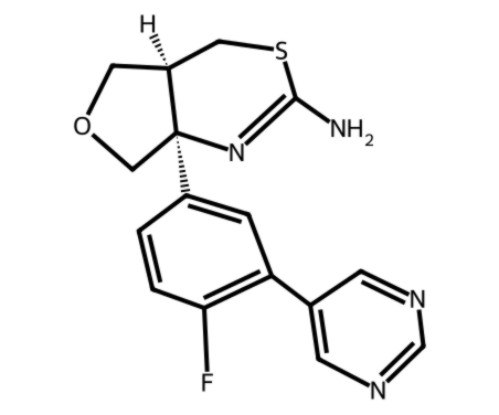 NC1=N[C@@]2(c3ccc(F)c(-c4cncnc4)c3)COC[C@H]2CS1